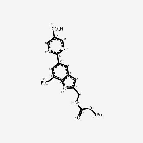 CC(C)(C)OC(=O)NCc1cc2cc(-c3ncc(C(=O)O)cn3)cc(C(F)(F)F)c2o1